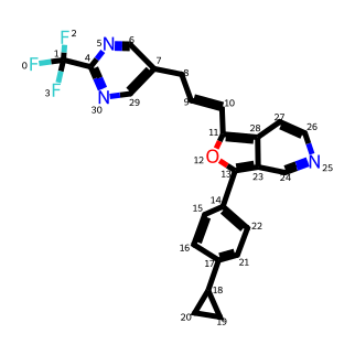 FC(F)(F)c1ncc(C/C=C/c2oc(-c3ccc(C4CC4)cc3)c3cnccc23)cn1